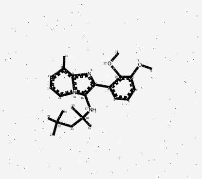 COc1cccc(-c2nc3c(C)cccn3c2NC(C)(C)CC(C)(C)C)c1OC